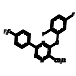 CCOC(=O)c1nnc(-c2ccc(C(F)(F)F)cc2)nc1Oc1cc(F)ccc1F